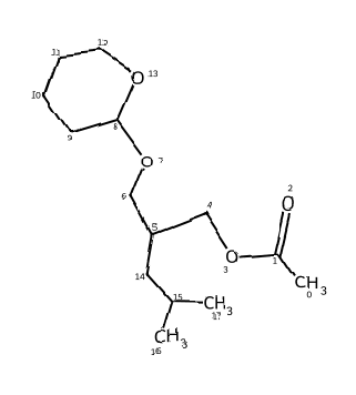 CC(=O)OCC(COC1CCCCO1)CC(C)C